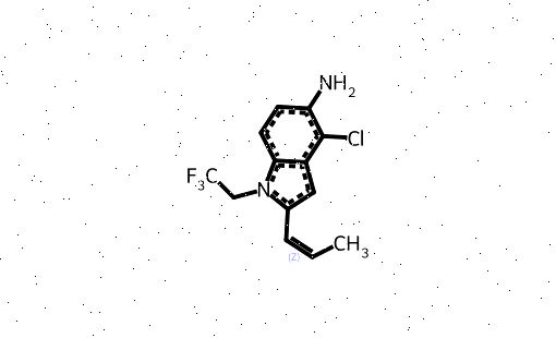 C/C=C\c1cc2c(Cl)c(N)ccc2n1CC(F)(F)F